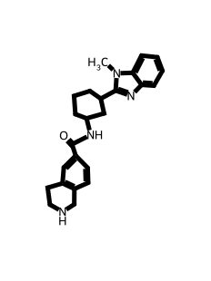 Cn1c(C2CCCC(NC(=O)c3ccc4c(c3)CCNC4)C2)nc2ccccc21